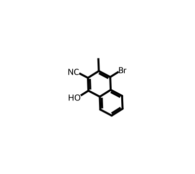 Cc1c(C#N)c(O)c2ccccc2c1Br